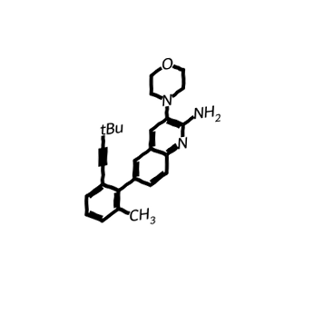 Cc1cccc(C#CC(C)(C)C)c1-c1ccc2nc(N)c(N3CCOCC3)cc2c1